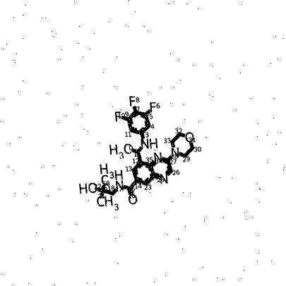 CC(Nc1cc(F)c(F)c(F)c1)c1cc(C(=O)NCC(C)(C)O)cc2ncc(N3CCOCC3)nc12